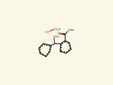 CCCCCCCCC(c1ccccc1)c1ccccc1C(=O)OC.O=C(O)O